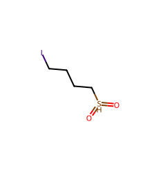 O=[SH](=O)CCCCI